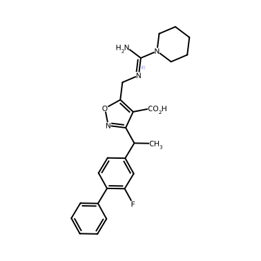 CC(c1ccc(-c2ccccc2)c(F)c1)c1noc(C/N=C(\N)N2CCCCC2)c1C(=O)O